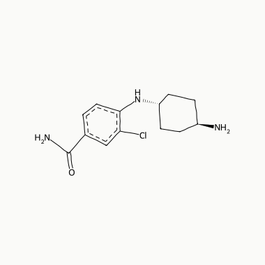 NC(=O)c1ccc(N[C@H]2CC[C@H](N)CC2)c(Cl)c1